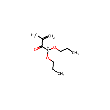 C=C(C)C(=O)[SiH](OCCC)OCCC